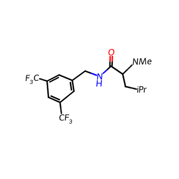 CNC(CC(C)C)C(=O)NCc1cc(C(F)(F)F)cc(C(F)(F)F)c1